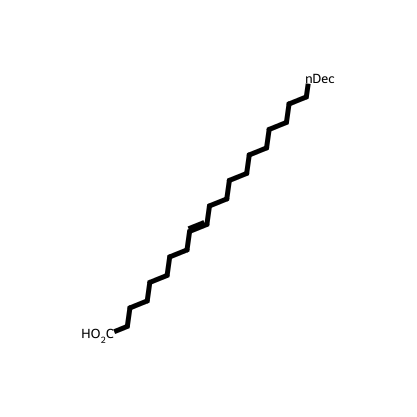 CCCCCCCCCCCCCCCCCCCC/C=C/CCCCCCCC(=O)O